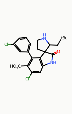 CC(C)(C)CC1NCCC12C(=O)Nc1cc(Cl)c(C(=O)O)c(-c3cccc(Cl)c3)c12